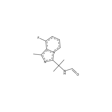 Cc1nc(C(C)(C)NC=O)n2cccc(F)c12